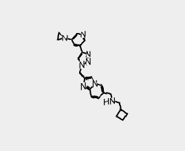 c1cc2nc(Cn3cc(-c4cncc(N5CC5)c4)nn3)cn2cc1CNCC1CCC1